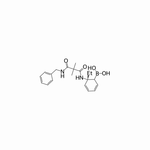 CC[C@]1(NC(=O)C(C)(C)C(=O)NCc2ccccc2)C=CC=CC1B(O)O